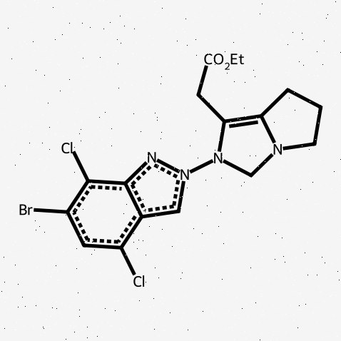 CCOC(=O)CC1=C2CCCN2CN1n1cc2c(Cl)cc(Br)c(Cl)c2n1